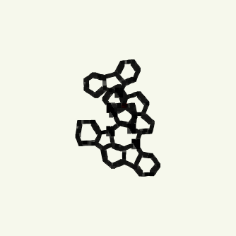 c1cc(-n2c3ccccc3c3ccccc32)nc(-n2c3ccccc3c3ccc4c5ccccc5n(-c5ccc6ccc7cccnc7c6n5)c4c32)c1